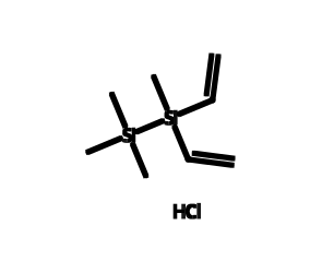 C=C[Si](C)(C=C)[Si](C)(C)C.Cl